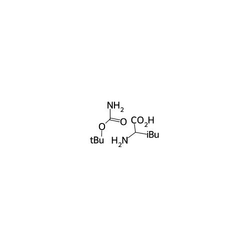 CC(C)(C)OC(N)=O.CCC(C)C(N)C(=O)O